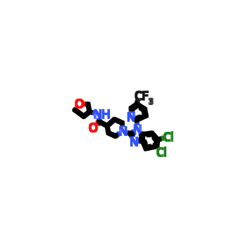 O=C(NC1CCOC1)C1CCN(c2nc3cc(Cl)c(Cl)cc3n2-c2ccc(C(F)(F)F)cn2)CC1